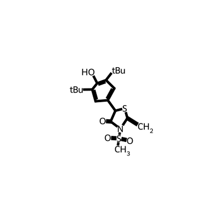 C=C1SC(c2cc(C(C)(C)C)c(O)c(C(C)(C)C)c2)C(=O)N1S(C)(=O)=O